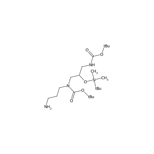 CC(C)(C)OC(=O)NCC(CN(CCCN)C(=O)OC(C)(C)C)O[Si](C)(C)C(C)(C)C